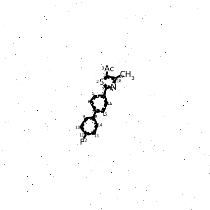 CC(=O)c1sc(-c2ccc(-c3ccc(F)cc3)cc2)nc1C